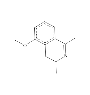 COc1cccc2c1CC(C)N=C2C